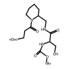 CCCCCCCCCCCCC(=O)N1CCCCC1CNC(=O)C(CO)NC(=O)OC(C)(C)C